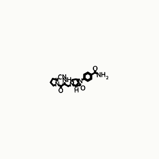 N#C[C@@H]1CCCN1C(=O)[C@@H](N)CN1CC2C[C@H]1C(=O)N2c1ccc(C(N)=O)cc1